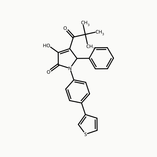 CC(C)(C)C(=O)C1=C(O)C(=O)N(c2ccc(-c3ccsc3)cc2)C1c1ccccc1